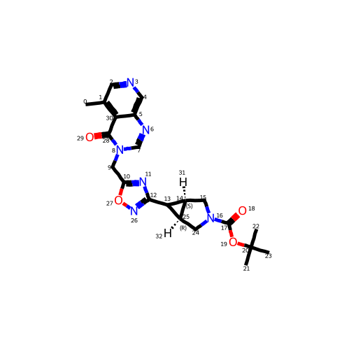 Cc1cncc2ncn(Cc3nc(C4[C@H]5CN(C(=O)OC(C)(C)C)C[C@@H]45)no3)c(=O)c12